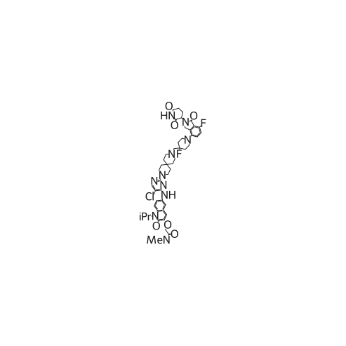 CNC(=O)COc1cc2cc(Nc3nc(N4CCC5(CCN(CC6(F)CCN(c7ccc(F)c8c7CN(C7CCC(=O)NC7=O)C8=O)CC6)CC5)CC4)ncc3Cl)ccc2n(C(C)C)c1=O